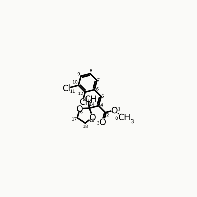 COC(=O)/C(=C/c1cccc(Cl)c1Cl)C1(C)OCCO1